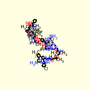 CC[C@H](C)[C@@H]([C@@H](CC(=O)N1CCC[C@H]1[C@H](OC)[C@@H](C)C(=O)N[C@H](C)[C@@H](O)c1ccccc1)OC)N(C)C(=O)[C@@H](NC(=O)[C@H](C(C)C)N(C)C(=O)OCc1ccc(NC(=O)[C@H](CCCNC(N)=O)NC(=O)[C@@H](NC(=O)CN2CCN(CC(=O)O)CCN(CC(=O)NC(C)(C)CCOC(C)(C)CCC(=O)NCCNc3ncc(-c4cc(C)cc(F)c4)c(N4CCC(N)CC4)c3-c3nc4ccc(Cl)cc4[nH]3)CC2)C(C)C)cc1)C(C)C